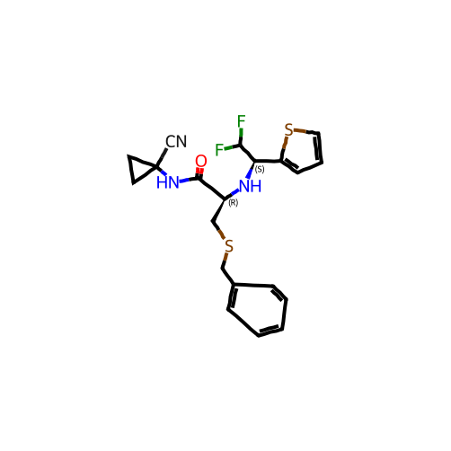 N#CC1(NC(=O)[C@H](CSCc2ccccc2)N[C@H](c2cccs2)C(F)F)CC1